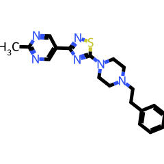 Cc1ncc(-c2nsc(N3CCN(CCc4ccccc4)CC3)n2)cn1